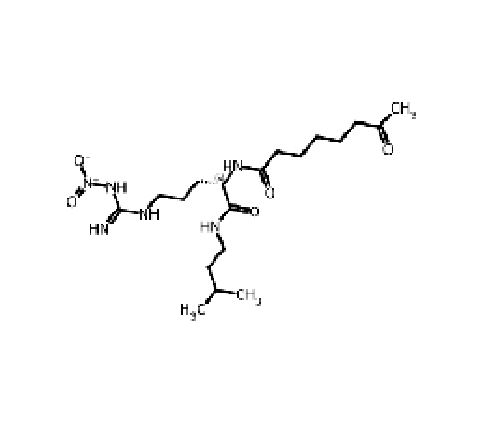 CC(=O)CCCCCC(=O)N[C@@H](CCCNC(=N)N[N+](=O)[O-])C(=O)NCCC(C)C